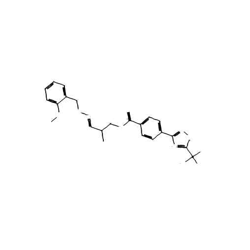 COc1ccccc1CON=CC(C)CNC(=O)c1ccc(-c2noc(C(F)(F)F)n2)cc1